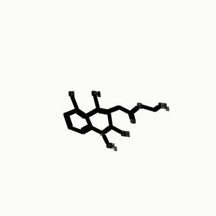 CCOC(=O)CC1=C(O)c2c(Cl)cccc2N(C)C1O